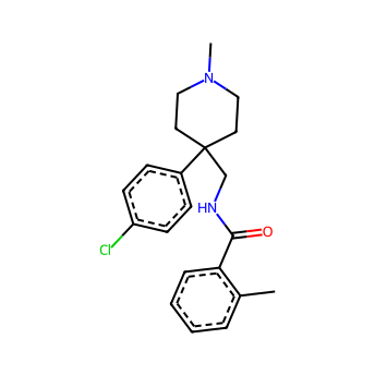 Cc1ccccc1C(=O)NCC1(c2ccc(Cl)cc2)CCN(C)CC1